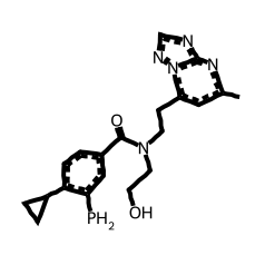 Cc1cc(CCN(CCO)C(=O)c2ccc(C3CC3)c(P)c2)n2ncnc2n1